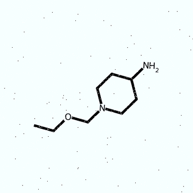 CCOCN1CCC(N)CC1